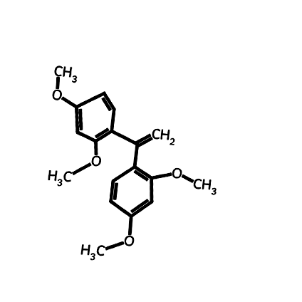 C=C(c1ccc(OC)cc1OC)c1ccc(OC)cc1OC